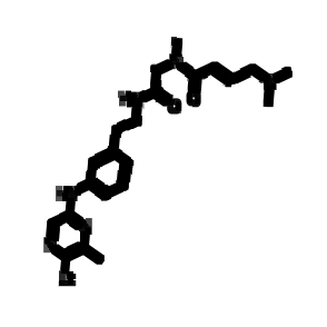 CCc1ncc(Nc2cccc(CCNC(=O)CN(C)C(=O)/C=C/CN(C)C)c2)nc1C